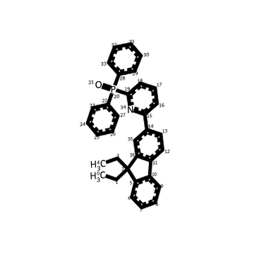 CCC1(CC)c2ccccc2-c2ccc(-c3cccc(P(=O)(c4ccccc4)c4ccccc4)n3)cc21